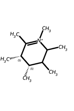 CC1=[N+](C)C(C)C(C)[C@H](C)[C@@H]1C